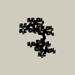 CC(C)(C)CC(COCC(COCC(CC(C)(C)C)C(C)(C)C)C(C)(C)C)C(C)(C)C